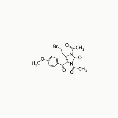 COc1ccc(C(=O)c2c(CCBr)n(C(C)=O)c(=O)n2C(C)=O)cc1